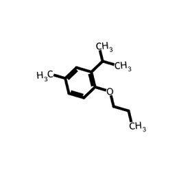 CCCOc1ccc(C)cc1C(C)C